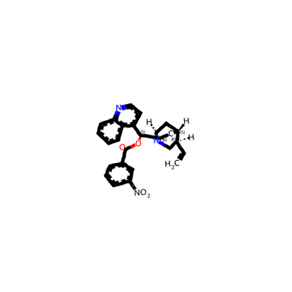 C=C[C@H]1CN2CC[C@H]1C[C@@H]2[C@@H](OC(=O)c1cccc([N+](=O)[O-])c1)c1ccnc2ccccc12